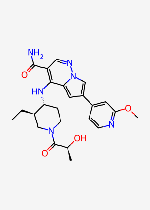 CC[C@@H]1CN(C(=O)[C@H](C)O)CC[C@H]1Nc1c(C(N)=O)cnn2cc(-c3ccnc(OC)c3)cc12